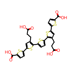 O=C(O)CCc1cc(-c2ccc(C(=O)O)s2)sc1-c1ccc(-c2sc(-c3ccc(C(=O)O)s3)cc2CCC(=O)O)s1